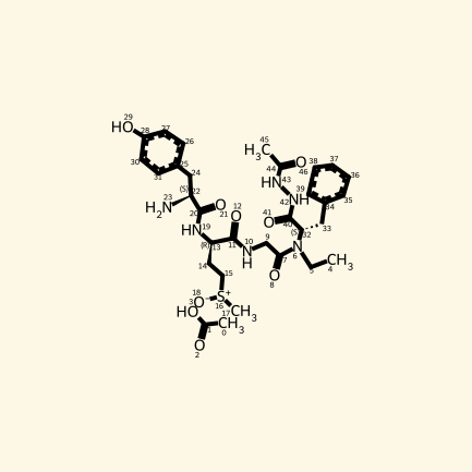 CC(=O)O.CCN(C(=O)CNC(=O)[C@@H](CC[S+](C)[O-])NC(=O)[C@@H](N)Cc1ccc(O)cc1)[C@@H](Cc1ccccc1)C(=O)NNC(C)=O